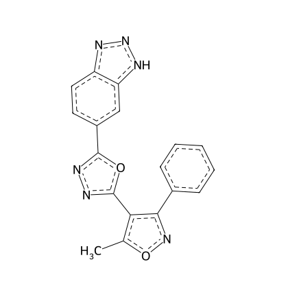 Cc1onc(-c2ccccc2)c1-c1nnc(-c2ccc3nn[nH]c3c2)o1